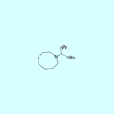 CCCCC(CCC)N1CCCCCCC1